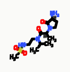 CC(C)N(CCNS(C)(=O)=O)C(=O)[C@H](C)N1CC[C@H](N)C1=O